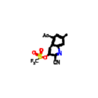 CC(=O)c1cc(C)cc2nc(C#N)c(OS(=O)(=O)C(F)(F)F)cc12